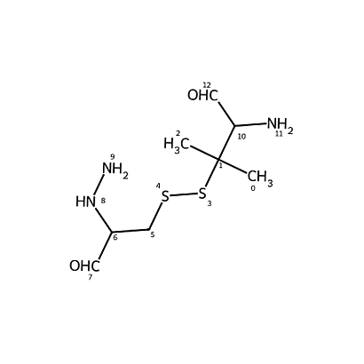 CC(C)(SSCC(C=O)NN)C(N)C=O